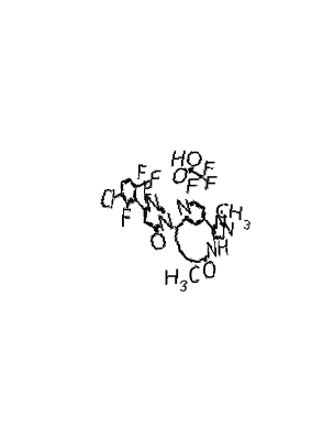 C[C@@H]1CCC[C@H](n2cnc(-c3c(C(F)(F)F)ccc(Cl)c3F)cc2=O)c2cc(ccn2)-c2c(cnn2C)NC1=O.O=C(O)C(F)(F)F